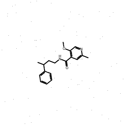 COc1cnc(C)cc1C(=O)NCCC(C)c1ccccc1